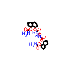 NC(=O)OC1CCCC2CCCC(OC(=O)NONC(=O)OC3CCCC4CCCC(OC(N)=O)C43)C21